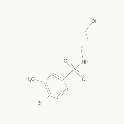 Cc1cc(S(=O)(=O)NCCCO)ccc1Br